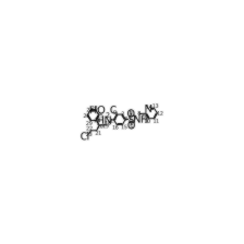 O=C(O)c1cc(S(=O)(=O)NCc2ccccn2)ccc1NCC(CCCl)c1ccccc1